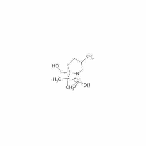 CC(C)(C)C1(CO)CCC(N)CN1C(=O)O